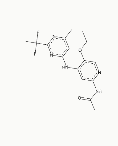 CCOc1cnc(NC(C)=O)cc1Nc1cc(C)nc(C(C)(F)F)n1